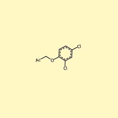 CC(=O)COc1ccc(Cl)cc1Cl